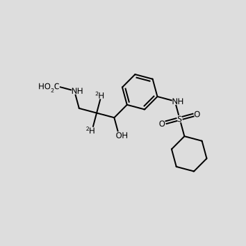 [2H]C([2H])(CNC(=O)O)C(O)c1cccc(NS(=O)(=O)C2CCCCC2)c1